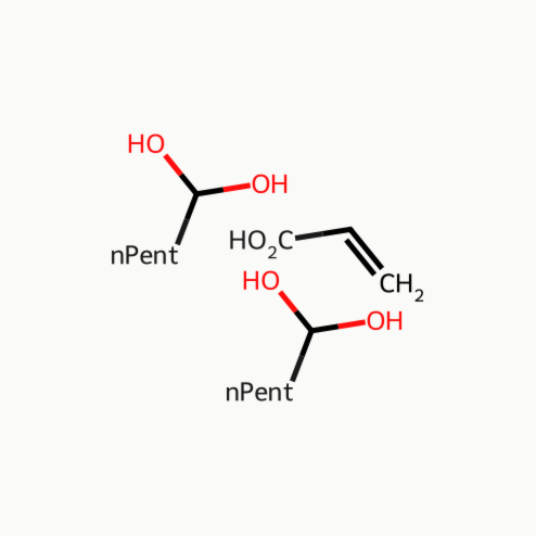 C=CC(=O)O.CCCCCC(O)O.CCCCCC(O)O